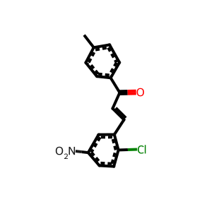 Cc1ccc(C(=O)/C=C/c2cc([N+](=O)[O-])ccc2Cl)cc1